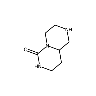 O=C1NCCC2CNCCN12